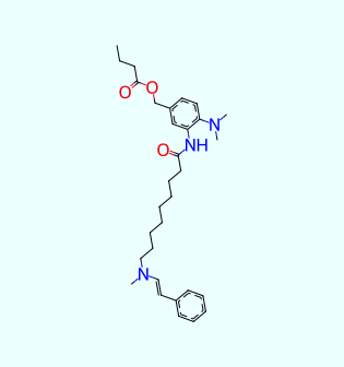 CCCC(=O)OCc1ccc(N(C)C)c(NC(=O)CCCCCCCCN(C)C=Cc2ccccc2)c1